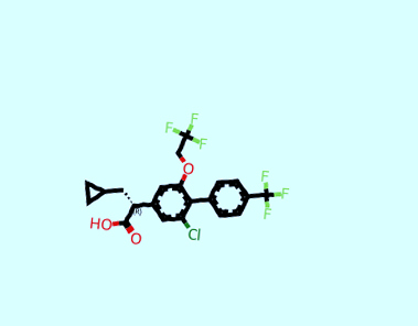 O=C(O)[C@H](CC1CC1)c1cc(Cl)c(-c2ccc(C(F)(F)F)cc2)c(OCC(F)(F)F)c1